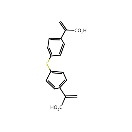 C=C(C(=O)O)c1ccc(Sc2ccc(C(=C)C(=O)O)cc2)cc1